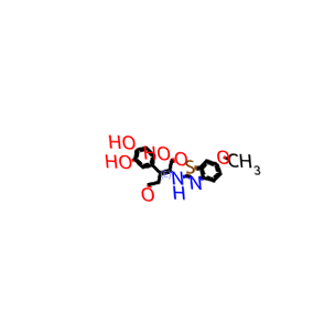 COc1ccc2nc(N/C(C(=O)O)=C(\CC=O)c3ccc(O)c(O)c3)sc2c1